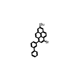 CC(C)(C)c1cc2ccc3c(Br)cc(-c4cccc(-c5ccccc5)c4)c4ccc(c1)c2c34